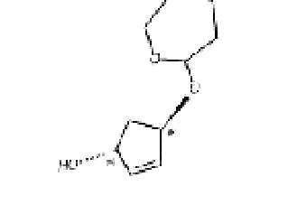 O[C@H]1C=C[C@H](OC2CCCCO2)C1